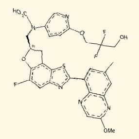 COc1cnc2c(-c3nc4cc(F)c5c(c4s3)C[C@H](CN(C(=O)O)c3ccc(OCC(F)(F)CO)nc3)O5)cc(C)cc2n1